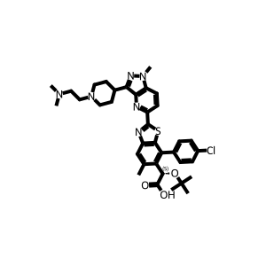 Cc1cc2nc(-c3ccc4c(n3)c(C3CCN(CCN(C)C)CC3)nn4C)sc2c(-c2ccc(Cl)cc2)c1[C@H](OC(C)(C)C)C(=O)O